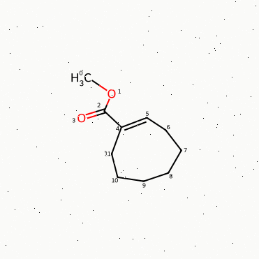 COC(=O)C1=CCCCCCC1